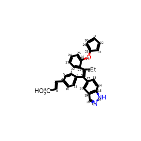 CC/C(=C(/c1ccc(/C=C/C(=O)O)cc1)c1ccc2[nH]ncc2c1)c1ccccc1Oc1ccccc1